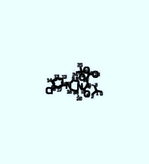 CC(C)C[C@H](C(=O)N1CCN(c2cccc(Cl)c2)C[C@H]1C)[C@@H]1OC(C)(C)OC1=O